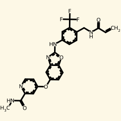 C=CC(=O)NCc1ccc(Nc2nc3cc(Oc4ccnc(C(=O)NC)c4)ccc3o2)cc1C(F)(F)F